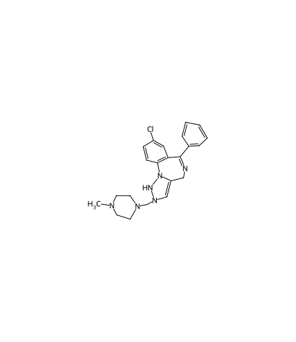 CN1CCN(CN2C=C3CN=C(c4ccccc4)c4cc(Cl)ccc4N3N2)CC1